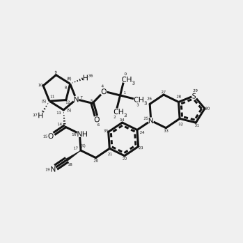 CC(C)(C)OC(=O)N1[C@@H]2CC[C@@H](C2)[C@H]1C(=O)N[C@H](C#N)Cc1ccc(N2CCc3sccc3C2)cc1